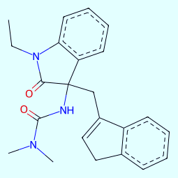 CCN1C(=O)C(CC2=CCc3ccccc32)(NC(=O)N(C)C)c2ccccc21